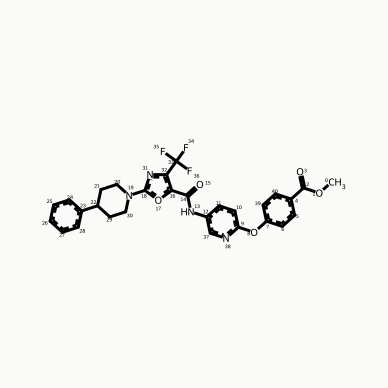 COC(=O)c1ccc(Oc2ccc(NC(=O)c3oc(N4CCC(c5ccccc5)CC4)nc3C(F)(F)F)cn2)cc1